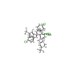 CC1=[C]([Zr](=[CH]c2ccc(Cl)cc2)(=[CH]c2ccc(Cl)cc2)[c]2c(C(C)(C)C)ccc3c2Cc2cc(C(C)(C)C)ccc2-3)C(C)C=C1C(C)C.Cl.Cl